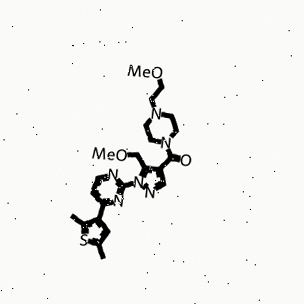 COCCN1CCN(C(=O)c2cnn(-c3nccc(-c4cc(C)sc4C)n3)c2COC)CC1